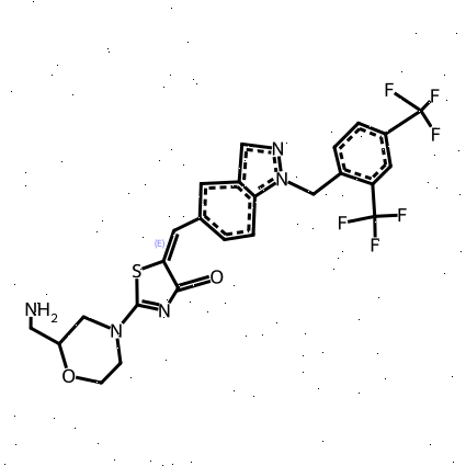 NCC1CN(C2=NC(=O)/C(=C\c3ccc4c(cnn4Cc4ccc(C(F)(F)F)cc4C(F)(F)F)c3)S2)CCO1